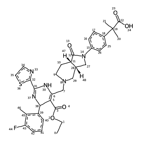 CCOC(=O)C1=C(CN2CC[C@@H]3C(=O)N(c4ccc(C(C)(C)C(=O)O)cc4)C[C@@H]3C2)NC(c2nccs2)=NC1c1cccc(F)c1C